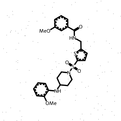 COc1cccc(C(=O)NCc2ccc(S(=O)(=O)N3CCC(Nc4ccccc4OC)CC3)s2)c1